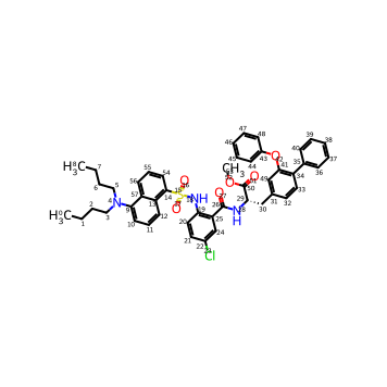 CCCCN(CCCC)c1cccc2c(S(=O)(=O)Nc3ccc(Cl)cc3C(=O)N[C@@H](Cc3ccc(-c4ccccc4)c(Oc4ccccc4)c3)C(=O)OC)cccc12